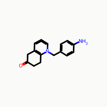 Nc1ccc(CN2C=C=CC3=C2CCC(=O)C3)cc1